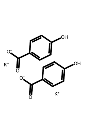 O=C([O-])c1ccc(O)cc1.O=C([O-])c1ccc(O)cc1.[K+].[K+]